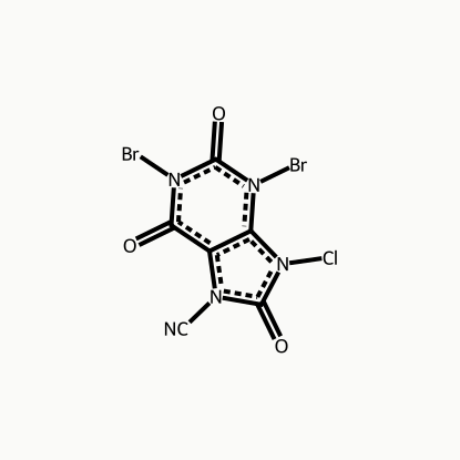 N#Cn1c(=O)n(Cl)c2c1c(=O)n(Br)c(=O)n2Br